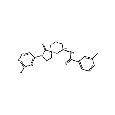 Cc1cccc(C(=O)N[C@@H]2CCC[C@@]3(CCN(c4ccnc(C)n4)C3=O)C2)c1